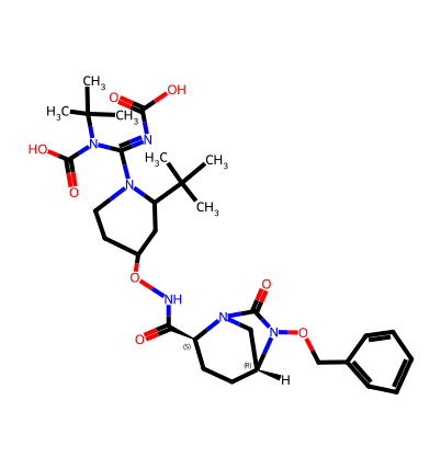 CC(C)(C)C1CC(ONC(=O)[C@@H]2CC[C@@H]3CN2C(=O)N3OCc2ccccc2)CCN1C(=NC(=O)O)N(C(=O)O)C(C)(C)C